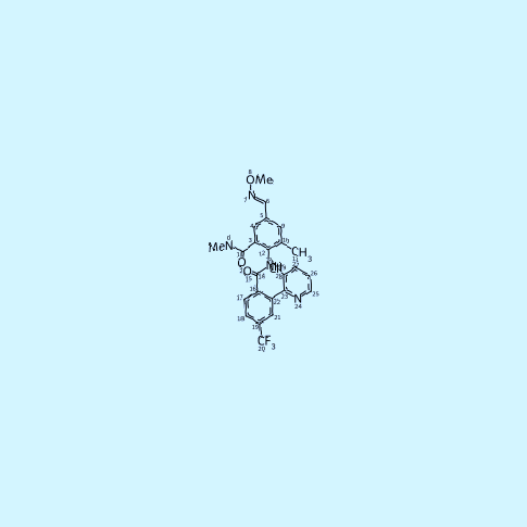 CNC(=O)c1cc(/C=N/OC)cc(C)c1NC(=O)c1ccc(C(F)(F)F)cc1-c1ncccc1Cl